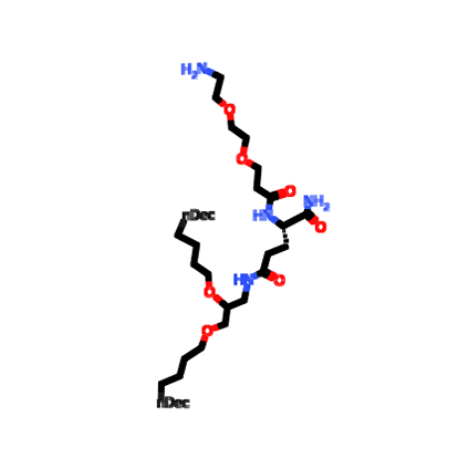 CCCCCCCCCCCCCCOCC(CNC(=O)CC[C@H](NC(=O)CCOCCOCCN)C(N)=O)OCCCCCCCCCCCCCC